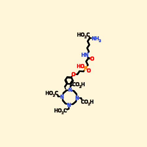 N[C@@H](CCCCNC(=O)CCP(=O)(O)CCCOc1ccc(C[C@H]2CN(CC(=O)O)CCN(CC(=O)O)CCN(CC(=O)O)CCN2CC(=O)O)cc1)C(=O)O